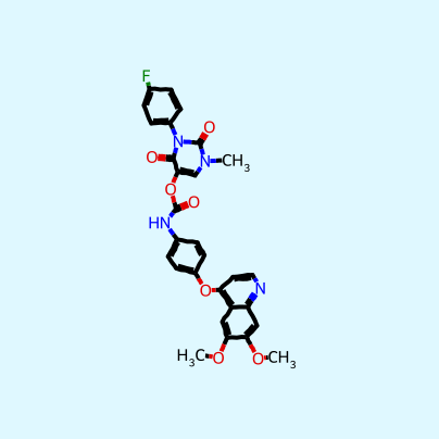 COc1cc2nccc(Oc3ccc(NC(=O)Oc4cn(C)c(=O)n(-c5ccc(F)cc5)c4=O)cc3)c2cc1OC